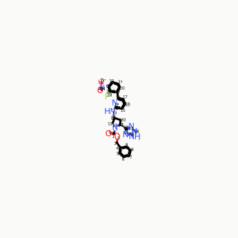 O=C(OCc1ccccc1)N1C[C@@H](Nc2cccc(-c3cccc([N+](=O)[O-])c3F)n2)C[C@H]1c1nn[nH]n1